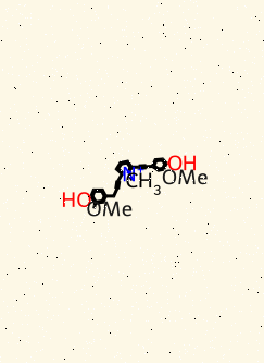 COc1cc(C#Cc2cccc(C#CCc3ccc(O)c(OC)c3)[n+]2C)ccc1O